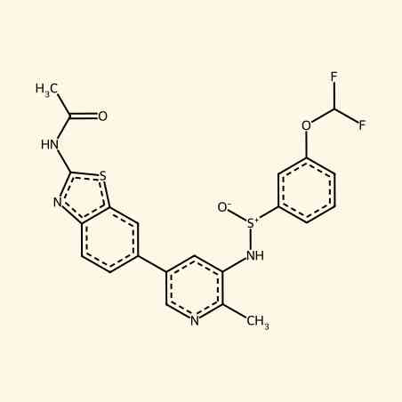 CC(=O)Nc1nc2ccc(-c3cnc(C)c(N[S+]([O-])c4cccc(OC(F)F)c4)c3)cc2s1